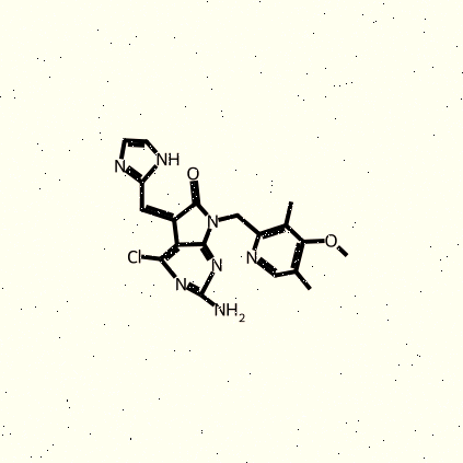 COc1c(C)cnc(CN2C(=O)C(=Cc3ncc[nH]3)c3c(Cl)nc(N)nc32)c1C